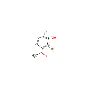 CC(=O)c1ccc(Br)c(O)c1Br